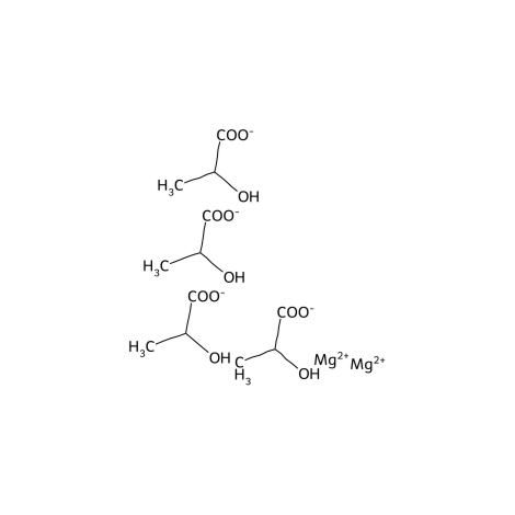 CC(O)C(=O)[O-].CC(O)C(=O)[O-].CC(O)C(=O)[O-].CC(O)C(=O)[O-].[Mg+2].[Mg+2]